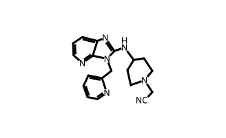 N#CCN1CCC(Nc2nc3cccnc3n2Cc2ccccn2)CC1